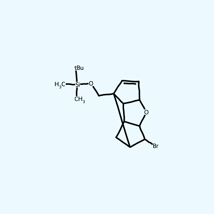 CC(C)(C)[Si](C)(C)OCC12C=CC3OC4C(Br)C1CC4C32